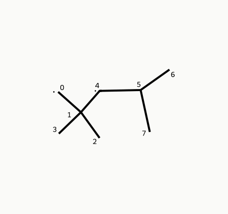 [CH2]C(C)(C)[CH]C(C)C